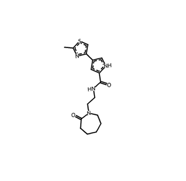 Cc1nc(-c2c[nH]c(C(=O)NCCN3CCCCCC3=O)c2)cs1